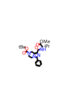 COC(=O)[C@@H](NC(=O)c1nc(-c2ccccc2)n2c1CN(C(=O)OC(C)(C)C)CC2)C(C)C